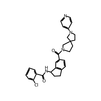 O=C(NC1CCc2ccc(C(=O)N3CCC4(CCN(c5ccncc5)C4)C3)cc21)c1ccccc1Cl